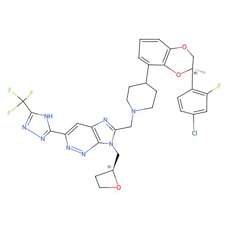 C[C@@]1(c2ccc(Cl)cc2F)COc2cccc(C3CCN(Cc4nc5cc(-c6nnc(C(F)(F)F)[nH]6)nnc5n4C[C@@H]4CCO4)CC3)c2O1